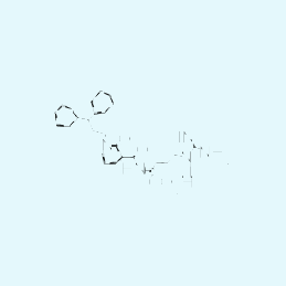 N=C(N)NCCC[C@H](NC(=O)c1cccn(CCC(c2ccccc2)c2ccccc2)c1=O)C(=O)O